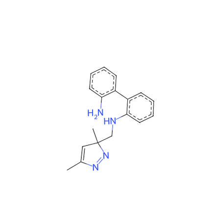 CC1=CC(C)(CNc2ccccc2-c2ccccc2N)N=N1